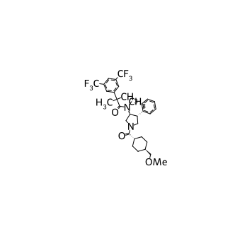 COC[C@H]1CC[C@H](C(=O)N2C[C@@H](N(C)C(=O)C(C)(C)c3cc(C(F)(F)F)cc(C(F)(F)F)c3)[C@H](c3ccccc3)C2)CC1